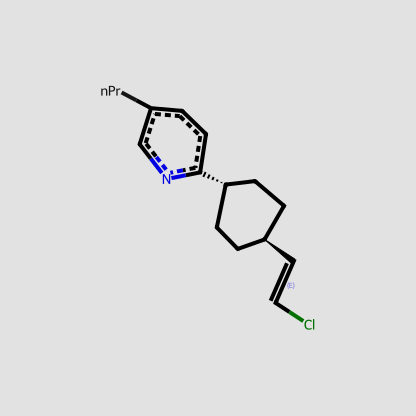 CCCc1ccc([C@H]2CC[C@H](/C=C/Cl)CC2)nc1